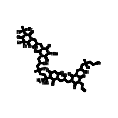 C=CCn1c(=O)n(CC(O)CN2C(=O)CC(=O)N(C(N)(CCCC)CCC(C)(CCC)CC(O)Cn3c(=O)n(CCCC)c(=O)n(CC(O)CN4C(=O)N(C(C)(CC)CCC)C(=O)C(CC)(CC)C4=O)c3=O)C2=O)c(=O)n(CC(O)CC(C)(CC)CCC(C)C)c1=O